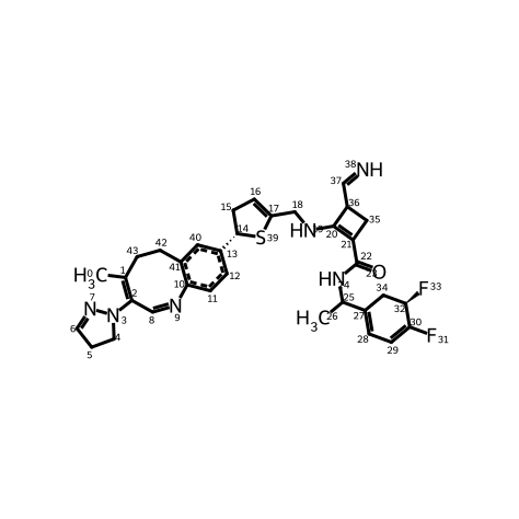 C/C1=C(N2CCC=N2)/C=N\c2ccc([C@@H]3CC=C(CNC4=C(C(=O)NC(C)C5=CC=C(F)[C@H](F)C5)CC4C=N)S3)cc2CC1